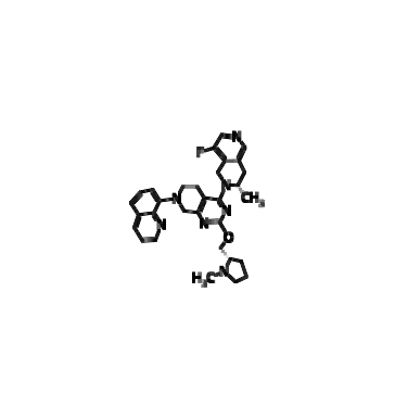 C[C@H]1Cc2cncc(F)c2CN1c1nc(OC[C@@H]2CCCN2C)nc2c1CCN(c1cccc3cccnc13)C2